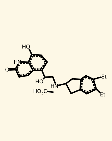 CC(=O)O.CCc1cc2c(cc1CC)CC(NCC(O)c1ccc(O)c3[nH]c(=O)ccc13)C2